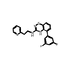 Fc1cc(F)cc(-c2cccc3c2NC(NCCc2ccccn2)=NS3)c1